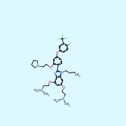 CCCCn1c(-c2ccc(Oc3ccc(F)c(C(F)(F)F)c3)cc2OCCN2CCCC2)nc2c(OCCN(C)C)cc(OCCN(C)C)cc21